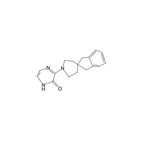 O=c1[nH][c]cnc1N1CCC2(CC1)Cc1ccccc1C2